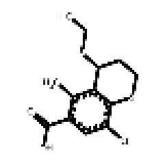 CCSC1CCSc2c(Cl)cc(C(=O)O)c(C)c21